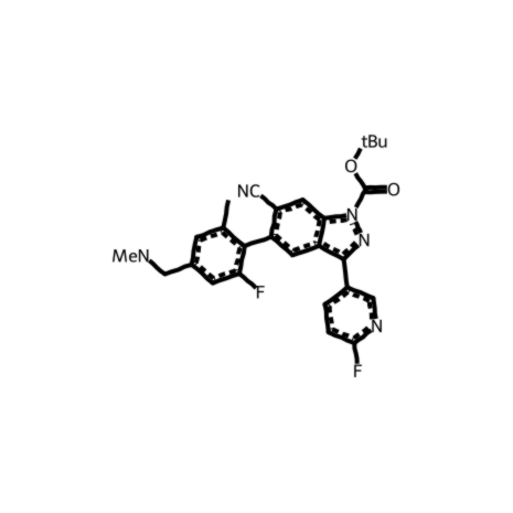 CNCc1cc(C)c(-c2cc3c(-c4ccc(F)nc4)nn(C(=O)OC(C)(C)C)c3cc2C#N)c(F)c1